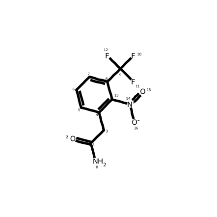 NC(=O)Cc1cccc(C(F)(F)F)c1[N+](=O)[O-]